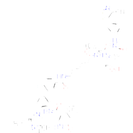 Cc1ncsc1-c1ccc(CNC(=O)[C@@H]2C[C@@H](O)CN2C(=O)[C@@H](NC(=O)CCCCCNC(=O)c2ccc(F)c(-c3ccc(N4C[C@@H](C)N(C)[C@@H](C)C4)c(NC(=O)c4c[nH]c(=O)cc4C(F)(F)F)c3)c2)C(C)(C)C)cc1